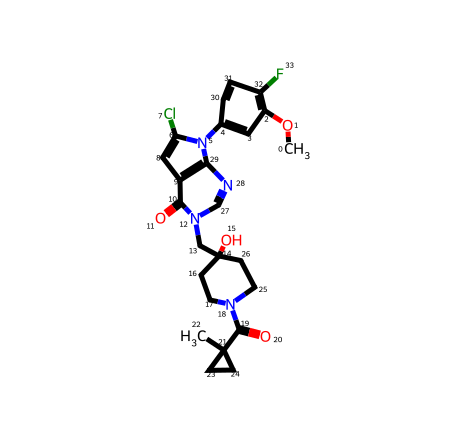 COc1cc(-n2c(Cl)cc3c(=O)n(CC4(O)CCN(C(=O)C5(C)CC5)CC4)cnc32)ccc1F